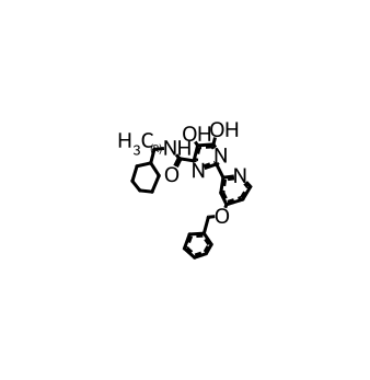 C[C@@H](NC(=O)c1nc(-c2cc(OCc3ccccc3)ccn2)nc(O)c1O)C1CCCCC1